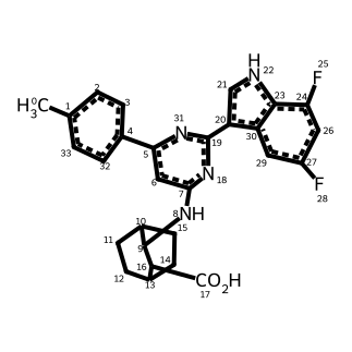 Cc1ccc(-c2cc(NC3C4CCC(CC4)C3C(=O)O)nc(-c3c[nH]c4c(F)cc(F)cc34)n2)cc1